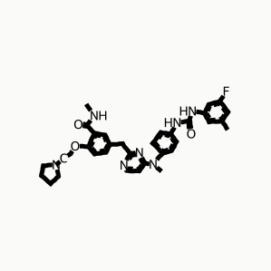 CNC(=O)c1cc(Cc2nccc(N(C)c3ccc(NC(=O)Nc4cc(C)cc(F)c4)cc3)n2)ccc1OCCN1CCCC1